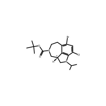 CC(C)N1C[C@@H]2CN(C(=O)OC(C)(C)C)CCc3c(Br)cc(Cl)c1c32